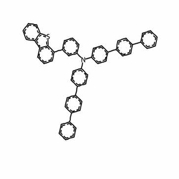 c1ccc(-c2ccc(-c3ccc(N(c4ccc(-c5ccc(-c6ccccc6)cc5)cc4)c4cccc(-c5cccc6c5sc5ccccc56)c4)cc3)cc2)cc1